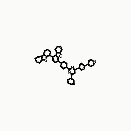 c1ccc(-c2cc(-c3ccc(-c4ccncc4)cc3)nc(-c3ccc(-c4ccc(-c5cccc6c5sc5ccccc56)c5c4oc4ccccc45)cc3)n2)cc1